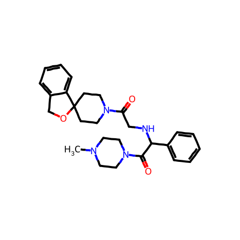 CN1CCN(C(=O)C(NCC(=O)N2CCC3(CC2)OCc2ccccc23)c2ccccc2)CC1